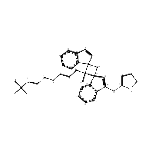 CC(C)(C)OCCCCCCC1(C)C2(C=Cc3ccccc32)CC12C=C(CC1CCCO1)c1ccccc12